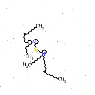 CCCCCCCCCC(CCCCCCCC1CC1CCCCCCCC)N1CCCCC1CCSSCCC1CCCCN1C(CCCCCCCCC)CCCCCCCC1CC1CCCCCCCC